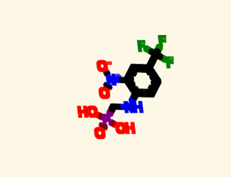 O=[N+]([O-])c1cc(C(F)(F)F)ccc1NCP(=O)(O)O